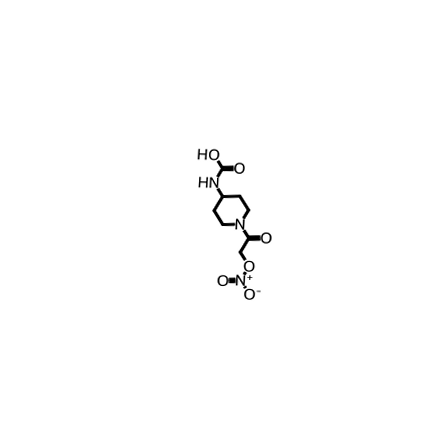 O=C(O)NC1CCN(C(=O)CO[N+](=O)[O-])CC1